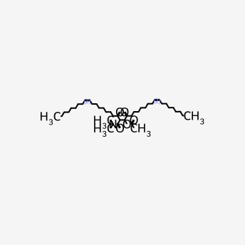 CCCCCCCC/C=C\CCCCCCCC(=O)C(OC(C)=O)C(C(=O)CCCCCCC/C=C\CCCCCCCC)C(=O)N(C)C